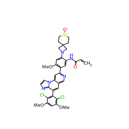 C=CC(=O)Nc1cc(-c2cc3c(cn2)cc(-c2c(Cl)c(OC)cc(OC)c2Cl)c2nccn23)c(OC)cc1N1CC2(CC[S+]([O-])CC2)C1